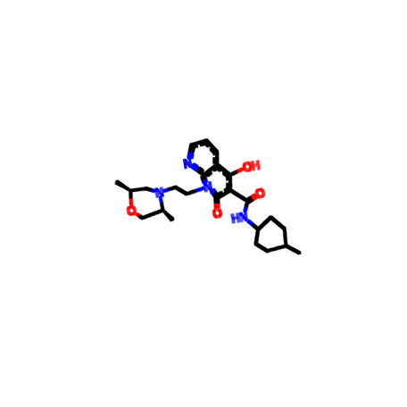 CC1CCC(NC(=O)c2c(O)c3cccnc3n(CCN3C[C@H](C)OC[C@@H]3C)c2=O)CC1